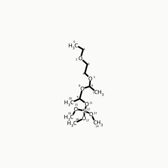 CCOCCOC(C)OC(C)O[Si](OC)(OC)OC